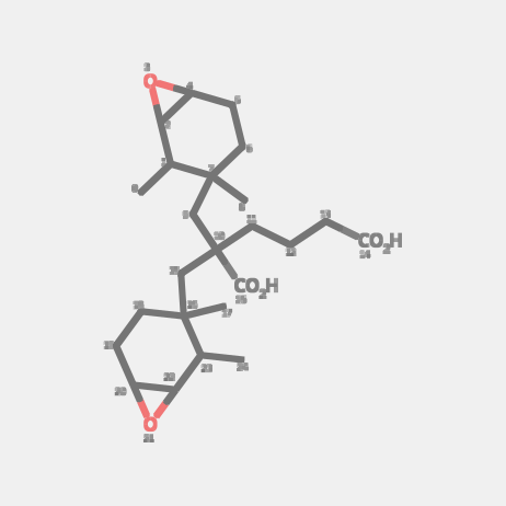 CC1C2OC2CCC1(C)CC(CCCC(=O)O)(CC1(C)CCC2OC2C1C)C(=O)O